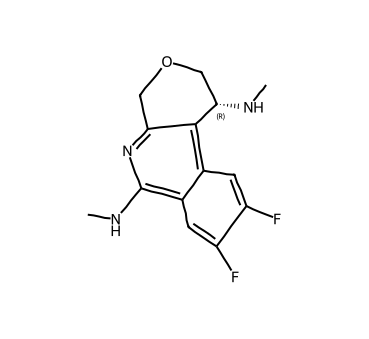 CNc1nc2c(c3cc(F)c(F)cc13)[C@@H](NC)COC2